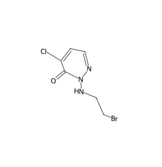 O=c1c(Cl)ccnn1NCCBr